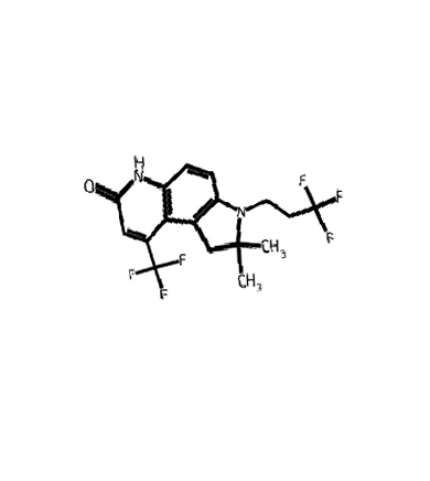 CC1(C)Cc2c(ccc3[nH]c(=O)cc(C(F)(F)F)c23)N1CCC(F)(F)F